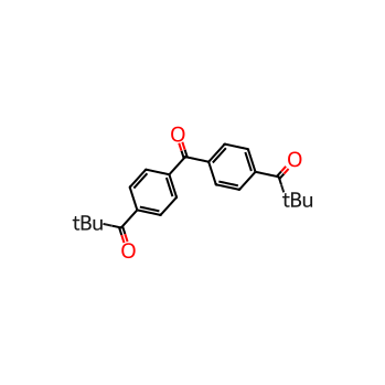 CC(C)(C)C(=O)c1ccc(C(=O)c2ccc(C(=O)C(C)(C)C)cc2)cc1